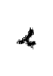 Cc1cc(C)c(C(=O)P=O)c(C)c1COC(=O)CCC(C)(CCC(=O)OCc1c(C)cc(C)c(C(=O)[PH](=O)c2ccccc2)c1C)CCC(=O)OCc1c(C)cc(C)c(C(=O)[PH](=O)c2ccccc2)c1C